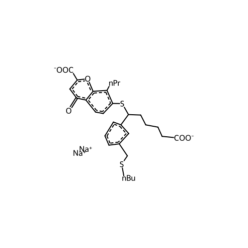 CCCCSCc1cccc(C(CCCCC(=O)[O-])Sc2ccc3c(=O)cc(C(=O)[O-])oc3c2CCC)c1.[Na+].[Na+]